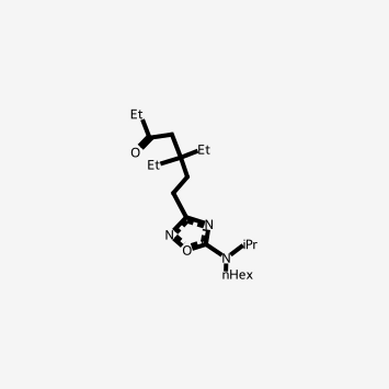 CCCCCCN(c1nc(CCC(CC)(CC)CC(=O)CC)no1)C(C)C